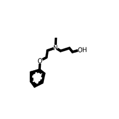 CN(CCCO)CCOc1ccccc1